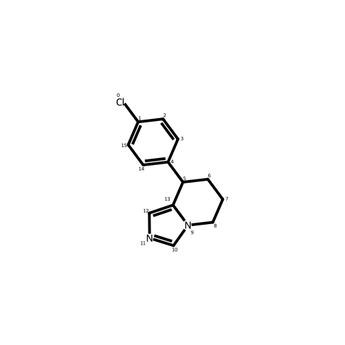 Clc1ccc(C2CCCn3cncc32)cc1